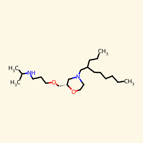 CCCCCCC(CCC)CN1CCO[C@H](COCCCNC(C)C)C1